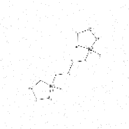 C[N+]1(CCCC[N+]2(C)CCCC2)CCCC1